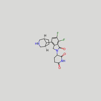 O=C1CCC(N2Cc3c(C4[C@@H]5CC[C@H]4CNC5)cc(F)c(F)c3C2=O)C(=O)N1